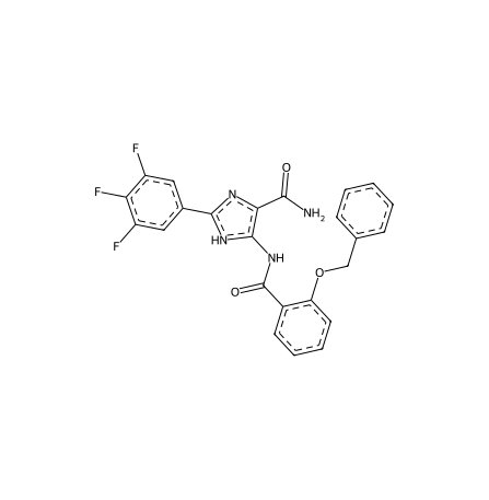 NC(=O)c1nc(-c2cc(F)c(F)c(F)c2)[nH]c1NC(=O)c1ccccc1OCc1ccccc1